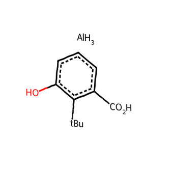 CC(C)(C)c1c(O)cccc1C(=O)O.[AlH3]